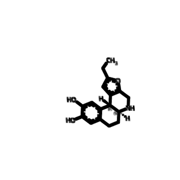 CCc1cc2c(o1)CN[C@H]1CCc3cc(O)c(O)cc3[C@H]21